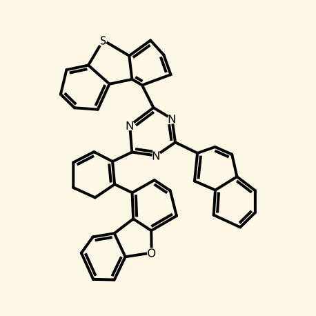 C1=CC(c2nc(-c3ccc4ccccc4c3)nc(-c3cccc4sc5ccccc5c34)n2)=C(c2cccc3oc4ccccc4c23)CC1